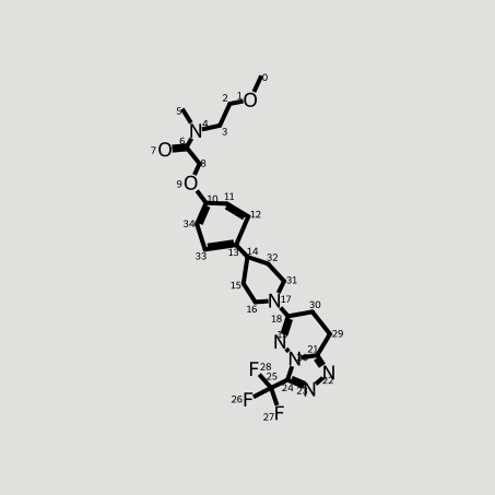 COCCN(C)C(=O)COc1ccc(C2CCN(C3=Nn4c(nnc4C(F)(F)F)CC3)CC2)cc1